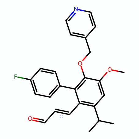 COc1cc(C(C)C)c(/C=C/C=O)c(-c2ccc(F)cc2)c1OCc1ccncc1